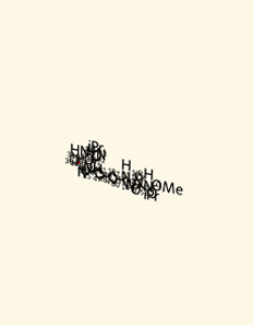 COC(=O)N[C@H](C(=O)N1CCC[C@H]1c1ncc(-c2ccc(-c3ccc(-c4cnc([C@@H]5C6CCC(C6)C5C(=O)NC(c5cccnc5)C(C)C)[nH]4)cc3)cc2)[nH]1)C(C)C